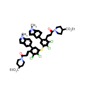 CCOC(=O)C1CCN(C(=O)/C=C/c2c(-c3ccc4c(ccn4C)c3)cc(Sc3cc(-c4ccc5c(ccn5C)c4)c(/C=C/C(=O)N4CCC(C(=O)OCC)CC4)c(Cl)c3Cl)c(Cl)c2Cl)CC1